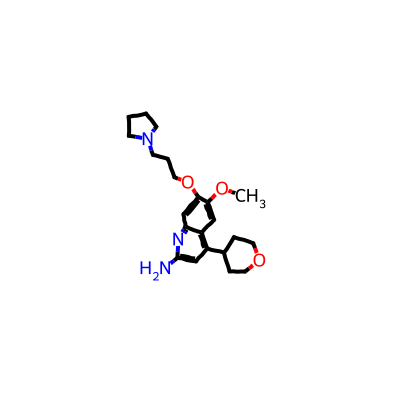 COc1cc2c(C3CCOCC3)cc(N)nc2cc1OCCCN1CCCC1